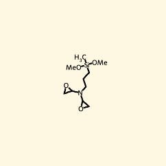 CO[Si](C)(CCCN(C1CO1)C1CO1)OC